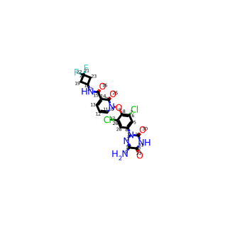 Nc1nn(-c2cc(Cl)c(On3cccc(C(=O)NC4CC(F)(F)C4)c3=O)c(Cl)c2)c(=O)[nH]c1=O